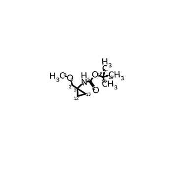 COCC1(NC(=O)OC(C)(C)C)CC1